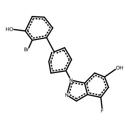 Oc1cc(F)c2cnn(-c3ccc(-c4cccc(O)c4Br)cc3)c2c1